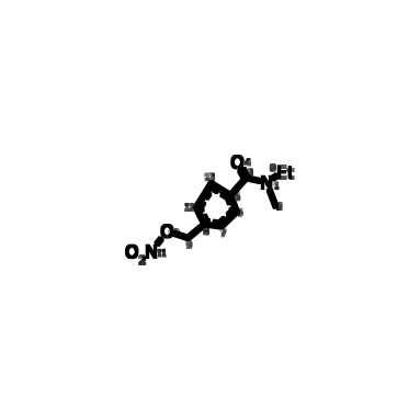 [CH2]CN(C)C(=O)c1ccc(CO[N+](=O)[O-])cc1